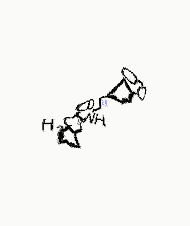 CC(=O)[C@H](Cc1ccccc1)NC(=O)/C=C/c1ccc2c(c1)OCO2